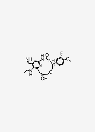 CCNc1c(C=N)cc2nc1C[C@H](O)COC[C@H](c1ccc(OC)c(F)c1)NC(=O)N2